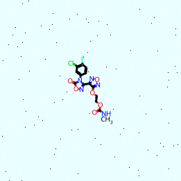 CNC(=O)OCCOc1nonc1-c1noc(=O)n1-c1ccc(F)c(Cl)c1